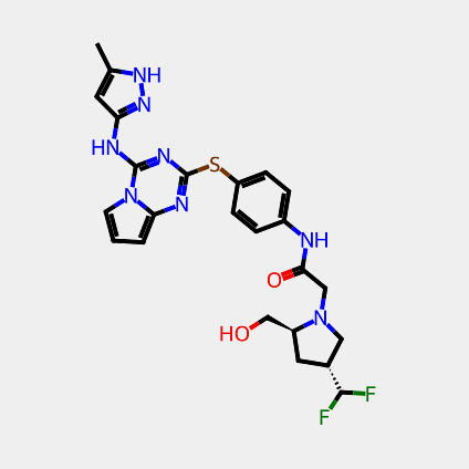 Cc1cc(Nc2nc(Sc3ccc(NC(=O)CN4C[C@H](C(F)F)C[C@H]4CO)cc3)nc3cccn23)n[nH]1